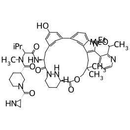 CCn1c(-c2cccnc2[C@H](C)OC)c2c3cc(ccc31)-c1cc(O)cc(c1)C[C@H](NC(=O)C(C(C)C)N(C)C(=O)[C@H]1CCCN(C(=O)[C@@H]3CN3)C1)C(=O)N1CCC[C@H](N1)C(=O)OCC(C)(C)C2